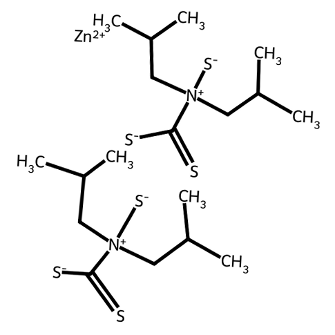 CC(C)C[N+]([S-])(CC(C)C)C(=S)[S-].CC(C)C[N+]([S-])(CC(C)C)C(=S)[S-].[Zn+2]